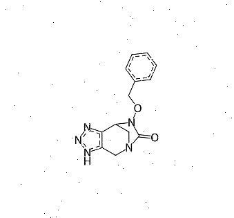 O=C1N2Cc3[nH]nnc3C(C2)N1OCc1ccccc1